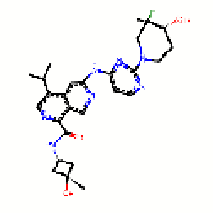 CC(C)c1cnc(C(=O)N[C@H]2C[C@@](C)(O)C2)c2cnc(Nc3ccnc(N4CC[C@@H](O)[C@@](C)(F)C4)n3)cc12